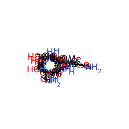 CC[C@H](C)[C@@H]1NC(=O)CNC(=O)[C@@H]2Cc3c([nH]c4c(CSCCNC(=O)CCCCCON)c(OC)ccc34)[S+]([O-])C[C@H](NC(=O)CNC1=O)C(=O)N[C@@H](CCC(N)=O)C(=O)N1C[C@H](O)C[C@H]1C(=O)N[C@@H]([C@@H](C)[C@@H](O)CO)C(=O)N2